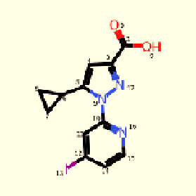 O=C(O)c1cc(C2CC2)n(-c2cc(I)ccn2)n1